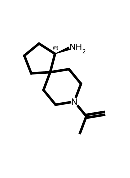 C=C(C)N1CCC2(CCC[C@H]2N)CC1